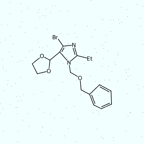 CCc1nc(Br)c(C2OCCO2)n1COCc1ccccc1